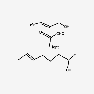 CC=CCCCC(C)O.CCCC=CCO.CCCCCCCC(=O)C=O